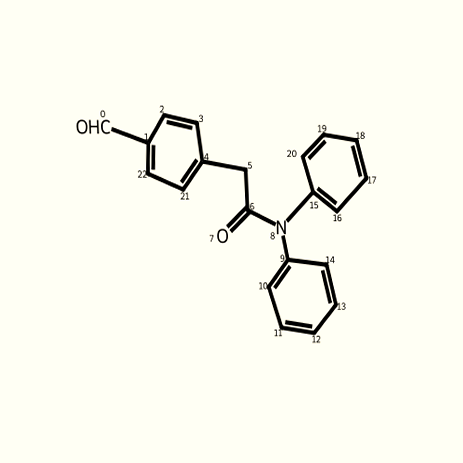 O=Cc1ccc(CC(=O)N(c2ccccc2)c2ccccc2)cc1